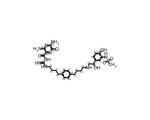 CS(=O)(=O)Nc1cc(C(O)CNCCCCc2ccc(CCCCNC(=N)NC(=O)c3nc(Cl)c(N)nc3N)cc2)ccc1O